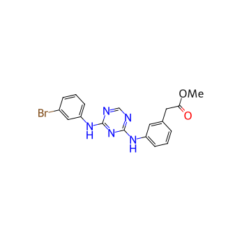 COC(=O)Cc1cccc(Nc2ncnc(Nc3cccc(Br)c3)n2)c1